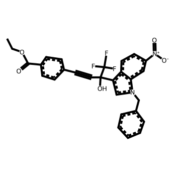 CCOC(=O)c1ccc(C#CC(O)(c2cn(Cc3ccccc3)c3cc([N+](=O)[O-])ccc23)C(F)(F)F)cc1